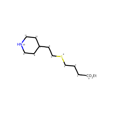 CCOC(=O)CCCSCCC1CCNCC1